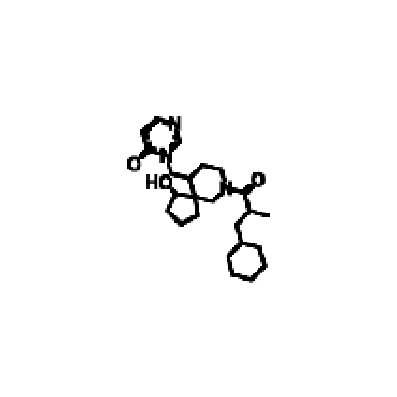 CC(CC1CCCCC1)C(=O)N1CCC(Cn2cnccc2=O)C2(CCCC2O)C1